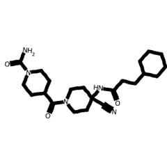 N#CC1(NC(=O)[CH]CC2CCCCC2)CCN(C(=O)C2CCN(C(N)=O)CC2)CC1